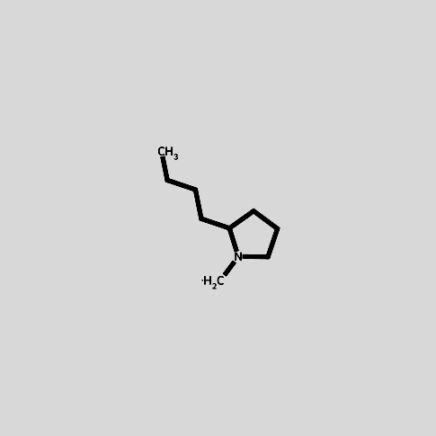 [CH2]N1CCCC1CCCC